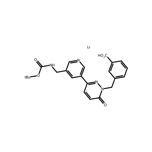 CC(C)(C)OC(=O)NCc1cncc(-c2ccc(=O)n(Cc3cccc(C(=O)O)c3)n2)c1.[Li]